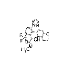 COC(=O)C(O)c1c(C(F)(F)F)ccc(-n2cccn2)c1-c1ccc2c(c1)CCCO2